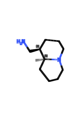 C[C@@]12CCCCN1CCC[C@@H]2CN